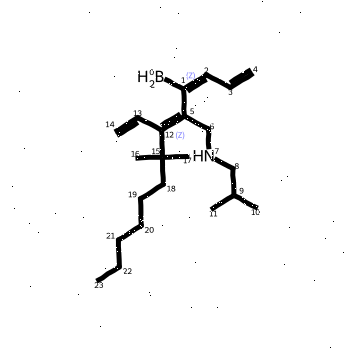 BC(=C/C=C)/C(CNCC(C)C)=C(\C=C)C(C)(C)CCCCCC